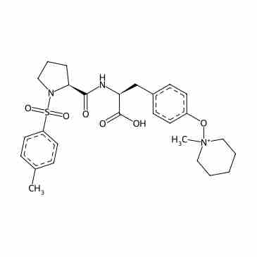 Cc1ccc(S(=O)(=O)N2CCC[C@H]2C(=O)N[C@@H](Cc2ccc(O[N+]3(C)CCCCC3)cc2)C(=O)O)cc1